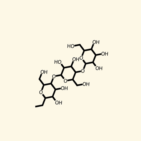 CCC1OC(CO)C(OC2OC(CO)C(OC3OC(CO)C(O)C(O)C3O)C(O)C2O)C(O)C1O